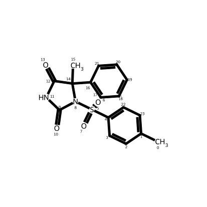 Cc1ccc(S(=O)(=O)N2C(=O)NC(=O)C2(C)c2c[c]ccc2)cc1